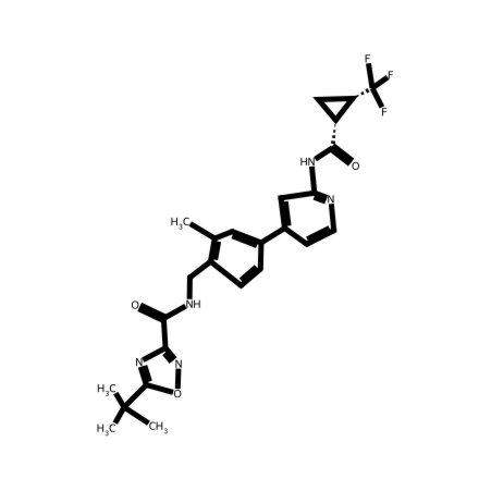 Cc1cc(-c2ccnc(NC(=O)[C@@H]3C[C@@H]3C(F)(F)F)c2)ccc1CNC(=O)c1noc(C(C)(C)C)n1